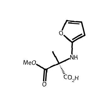 COC(=O)[C@@](C)(Nc1ccco1)C(=O)O